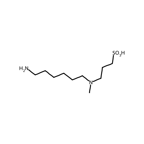 CN(CCCCCCN)CCCS(=O)(=O)O